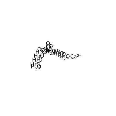 O.O.O.O.O.O.O.O.O.O.O=[N+]([O-])[O-].O=[N+]([O-])[O-].[Ca+2]